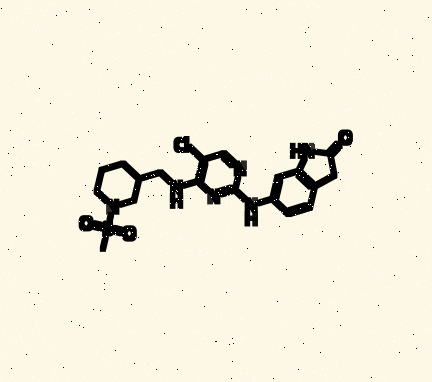 CS(=O)(=O)N1CCCC(CNc2nc(Nc3ccc4c(c3)NC(=O)C4)ncc2Cl)C1